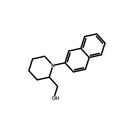 OCC1CCCCN1c1ccc2ccccc2c1